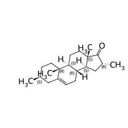 C[C@H]1CC[C@@]2(C)C(=CC[C@@H]3[C@@H]2CC[C@]2(C)C(=O)[C@H](C)C[C@@H]32)C1